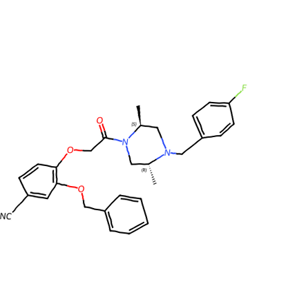 C[C@@H]1CN(C(=O)COc2ccc(C#N)cc2OCc2ccccc2)[C@@H](C)CN1Cc1ccc(F)cc1